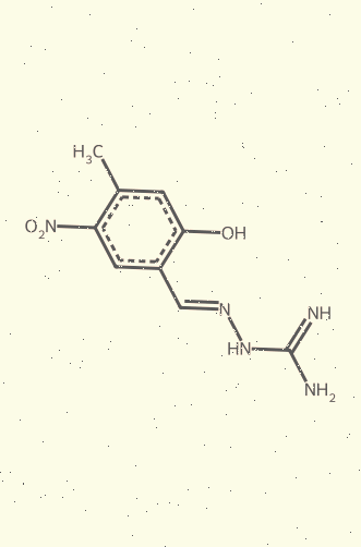 Cc1cc(O)c(/C=N/NC(=N)N)cc1[N+](=O)[O-]